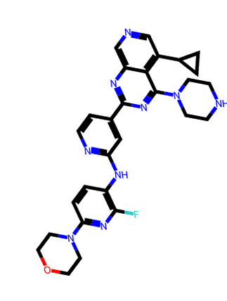 Fc1nc(N2CCOCC2)ccc1Nc1cc(-c2nc(N3CCNCC3)c3c(C4CC4)cncc3n2)ccn1